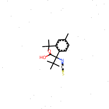 Cc1ccc(C(N=C=S)(C(=O)O)C(C)(C)C)c(C(C)(C)C)c1